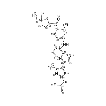 CCc1cc(Nc2nccn3c(-c4cn(CC(F)F)nc4C(F)(F)F)cnc23)ccc1C(=O)N1CCC2(CNC2)C1